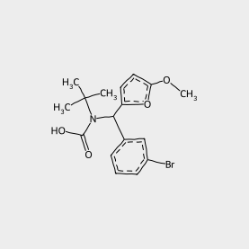 COc1ccc(C(c2cccc(Br)c2)N(C(=O)O)C(C)(C)C)o1